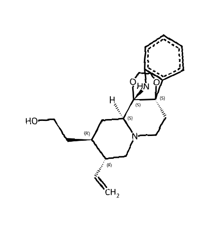 C=C[C@H]1CN2CC[C@@]34OCCO[C@@]3(Nc3ccccc34)[C@@H]2C[C@@H]1CCO